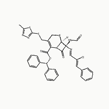 Cc1nnc(SCC2=C(C(=O)OC(c3ccccc3)c3ccccc3)N3C(=O)[C@](N=CC(Cl)=Cc4ccccc4)(NC=O)[C@@H]3SC2)s1